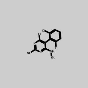 CCC(C)Nc1nc(C#N)nc(Cl)c1-c1c(F)cccc1Cl